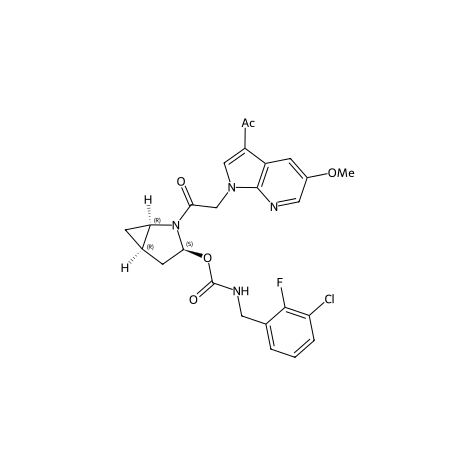 COc1cnc2c(c1)c(C(C)=O)cn2CC(=O)N1[C@@H](OC(=O)NCc2cccc(Cl)c2F)C[C@H]2C[C@H]21